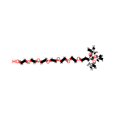 C[Si](C)(C)O[Si](CCCOCCOCCOCCOCCOCCOCCO)(O[Si](C)(C)C)O[Si](C)(C)C